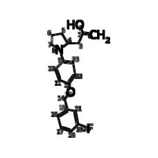 C=C(O)CC1CCCN1c1ccc(OCc2cccc(F)c2)cc1